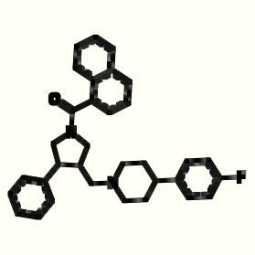 O=C(c1cccc2ccccc12)N1CC(CN2CCC(c3ccc(F)cc3)CC2)C(c2ccccc2)C1